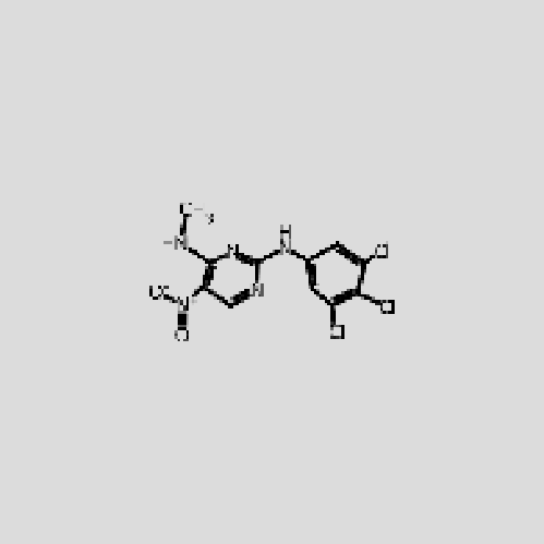 CNc1nc(Nc2cc(Cl)c(Cl)c(Cl)c2)ncc1[N+](=O)[O-]